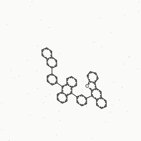 c1cc(-c2ccc3ccccc3c2)cc(-c2c3ccccc3c(-c3cccc(-c4c5ccccc5cc5c4oc4ccccc45)c3)c3ccccc23)c1